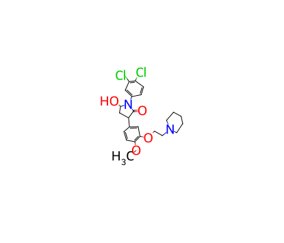 COc1ccc(C2CC(O)N(c3ccc(Cl)c(Cl)c3)C2=O)cc1OCCN1CCCCC1